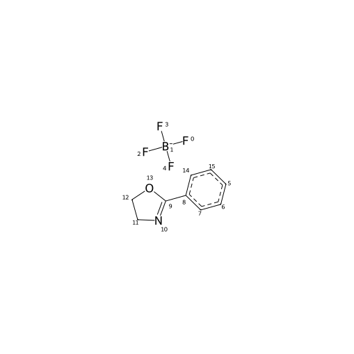 F[B-](F)(F)F.c1ccc(C2=NCCO2)cc1